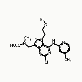 CCOCCn1nc(CN(C)C(=O)O)c2nc(Cl)nc(Nc3cc(C)ccn3)c21